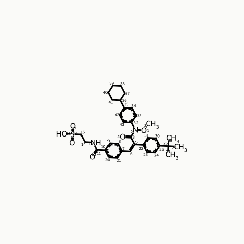 CON(C(=O)/C(=C\c1ccc(C(=O)NCCS(=O)(=O)O)cc1)c1ccc(C(C)(C)C)cc1)c1ccc(C2CCCCC2)cc1